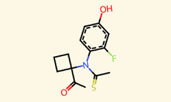 CC(=O)C1(N(C(C)=S)c2ccc(O)cc2F)CCC1